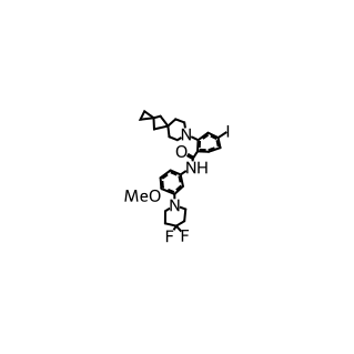 COc1ccc(NC(=O)c2ccc(I)cc2N2CCC3(CC2)CC2(CC2)C3)cc1N1CCC(F)(F)CC1